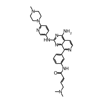 CN(C)C/C=C/C(=O)Nc1cccc(-c2nccc3c(N)nc(Nc4ccc(N5CCN(C)CC5)nc4)nc23)c1